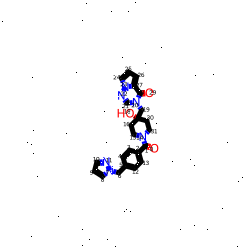 O=C(c1ccc(Cn2cccn2)cc1)N1CCC(O)(Cn2cnn3cccc3c2=O)CC1